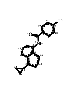 O=C(Nc1cncc2c(C3CC3)cccc12)c1ccc(F)cc1